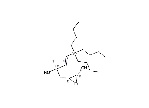 CCC[CH2][Sn](/[CH]=C/[C@](C)(O)C[C@H]1O[C@H]1O)([CH2]CCC)[CH2]CCC